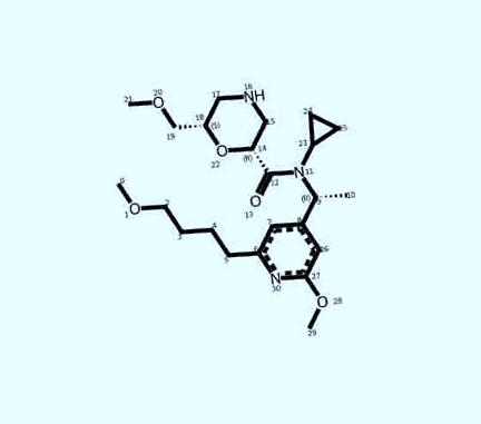 COCCCCc1cc([C@@H](C)N(C(=O)[C@H]2CNC[C@@H](COC)O2)C2CC2)cc(OC)n1